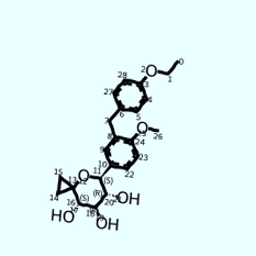 CCOc1ccc(Cc2cc([C@@H]3OC4(CC4)[C@@H](O)[C@H](O)[C@H]3O)ccc2OC)cc1